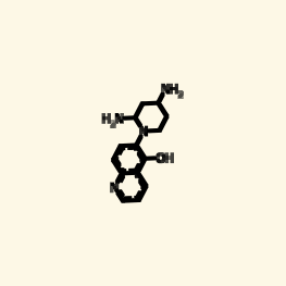 NC1CCN(c2ccc3ncccc3c2O)C(N)C1